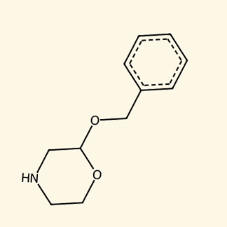 c1ccc(COC2CNCCO2)cc1